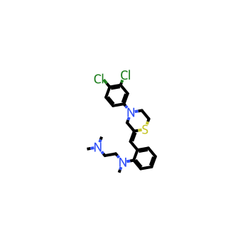 CN(C)CCN(C)c1ccccc1C=C1CN(c2ccc(Cl)c(Cl)c2)CCS1